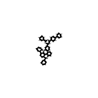 C1=CC2c3ccc4c(-c5ccccc5)nc5ccccc5c4c3N(c3cccc(-c4cc(-c5ccc(-c6ccccc6)cc5)nc(-c5ccccc5)n4)c3)C2C=C1